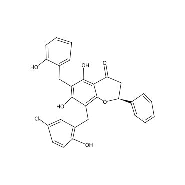 O=C1C[C@@H](c2ccccc2)Oc2c(Cc3cc(Cl)ccc3O)c(O)c(Cc3ccccc3O)c(O)c21